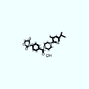 Cc1cc(C(C)C)cnc1N1CCN(C(=O)c2ccc(N3C(=O)OC[C@H]3C)cc2)CC1.Cl